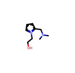 CN(C)Cc1cccn1CCO